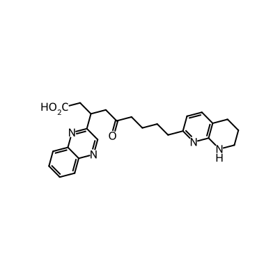 O=C(O)CC(CC(=O)CCCCc1ccc2c(n1)NCCC2)c1cnc2ccccc2n1